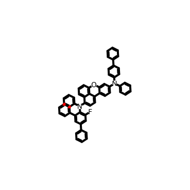 Fc1cc(-c2ccccc2)cc(-c2ccccc2)c1N(c1ccccc1)c1ccc2c3c(cccc13)Oc1cc(N(c3ccccc3)c3ccc(-c4ccccc4)cc3)ccc1-2